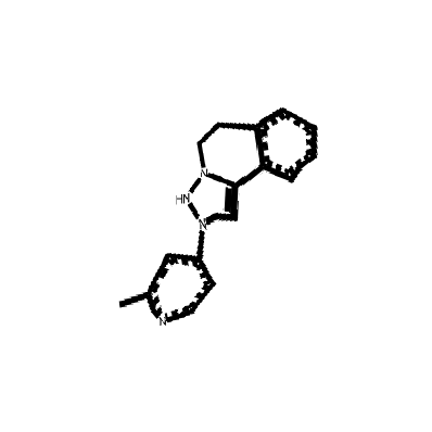 Cc1cc(N2C=C3c4ccccc4CCN3N2)ccn1